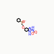 COC(=O)Nc1nc2cc(OCC[S+]([O-])c3ccccc3)ccc2[nH]1